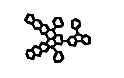 c1ccc(N2c3cc4cc5ccccc5cc4cc3B3c4cc5cc6ccccc6cc5cc4N(c4ccccc4)c4cc(-c5ccc6c7ccccc7n(-c7ccccc7)c6c5)cc2c43)cc1